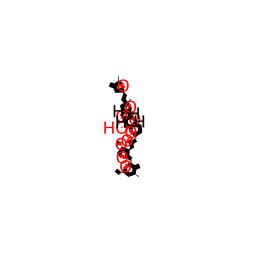 C=C1C[C@H](CC[C@]2(C)C[C@H]3O[C@H]4[C@@H](O)C5O[C@@H](CC(=O)C[C@H]6C(C[C@H]7O[C@@H](CC)C[C@@H](C)C7=C)OC[C@@H]6OC)CC[C@@H]5O[C@H]4C3O2)O[C@H]1C